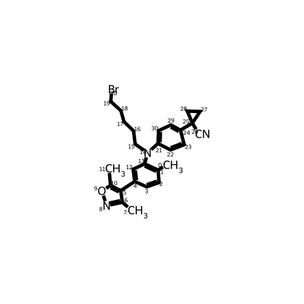 Cc1ccc(-c2c(C)noc2C)cc1N(CCCCCBr)c1ccc(C2(C#N)CC2)cc1